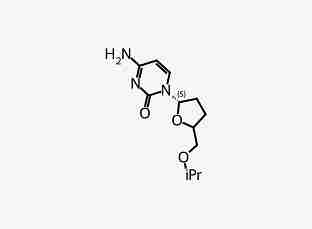 CC(C)OCC1CC[C@@H](n2ccc(N)nc2=O)O1